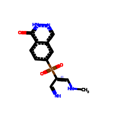 CN/C=C(\C=N)S(=O)(=O)c1ccc2c(=O)[nH]ncc2c1